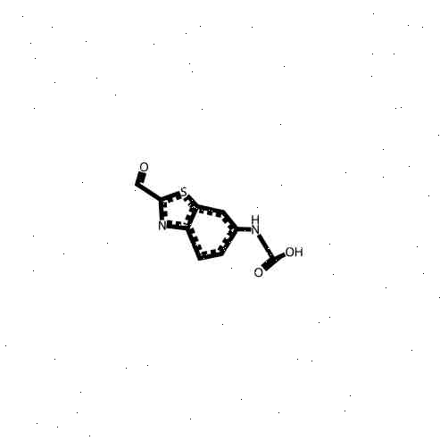 O=Cc1nc2ccc(NC(=O)O)cc2s1